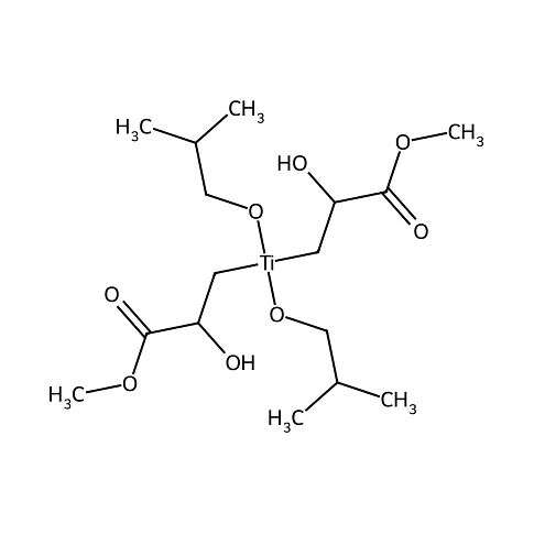 COC(=O)C(O)[CH2][Ti]([CH2]C(O)C(=O)OC)([O]CC(C)C)[O]CC(C)C